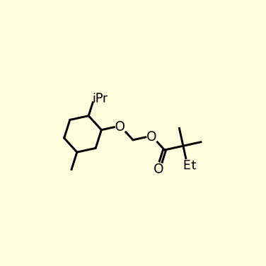 CCC(C)(C)C(=O)OCOC1CC(C)CCC1C(C)C